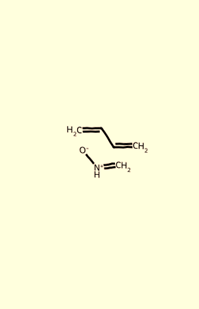 C=CC=C.C=[NH+][O-]